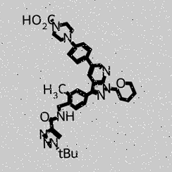 Cc1cc(-c2nn(C3CCCCO3)c3ncc(-c4ccc(N5CCN(C(=O)O)CC5)cc4)cc23)ccc1CNC(=O)c1cn(C(C)(C)C)nn1